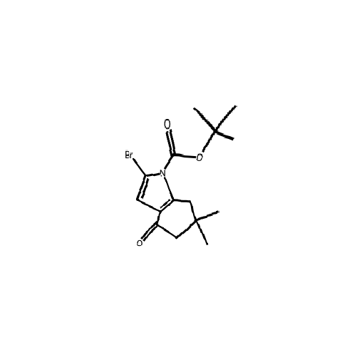 CC1(C)CC(=O)c2cc(Br)n(C(=O)OC(C)(C)C)c2C1